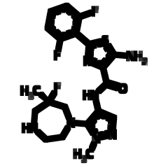 Cn1ncc(NC(=O)c2nc(-c3c(F)cccc3F)sc2N)c1N1CCNC[C@](C)(F)C1